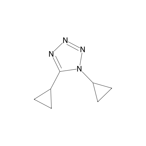 C1CC1c1nnnn1C1CC1